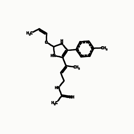 C/C=C\OC1NC(/C(C)=C/CNC(C)=N)=C(c2ccc(C)cc2)N1